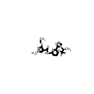 CCOc1nn(C)cc1C(=O)Nc1cccc(-c2nncn2[C@@H](C)C(F)(F)F)n1